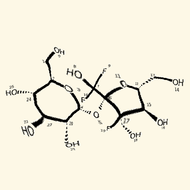 OC[C@H]1O[C@H](O[C@]2(C(O)(F)F)O[C@H](CO)[C@@H](O)[C@@]2(O)F)[C@H](O)[C@@H](O)[C@@H]1O